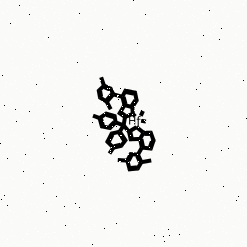 Cc1ccc(C2(c3ccc(C)cc3)C3=Cc4c(-c5cc(C)ccc5C)cccc4[CH]3[Hf]([CH3])([CH3])[CH]3C2=Cc2c(-c4cc(C)ccc4C)cccc23)cc1